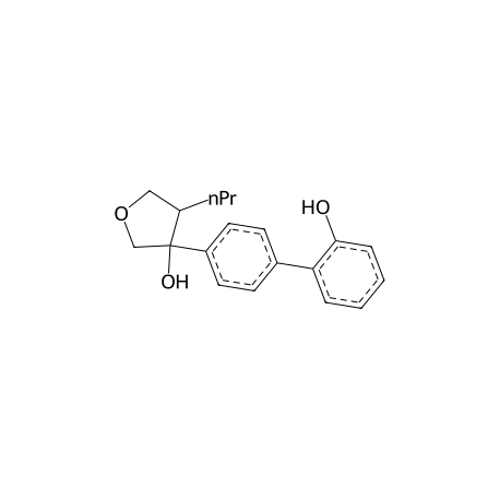 CCCC1COCC1(O)c1ccc(-c2ccccc2O)cc1